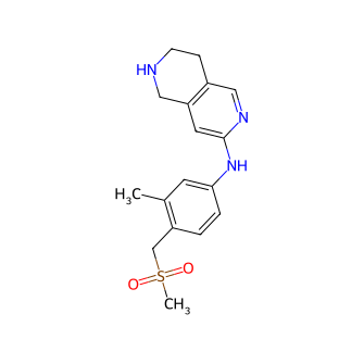 Cc1cc(Nc2cc3c(cn2)CCNC3)ccc1CS(C)(=O)=O